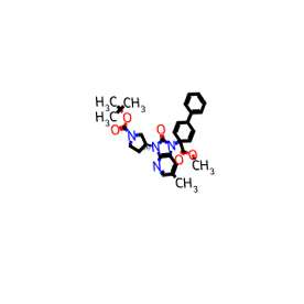 COC(=O)C1(n2c(=O)n([C@H]3CCN(C(=O)OC(C)(C)C)C3)c3ncc(C)cc32)C=CC(c2ccccc2)C=C1